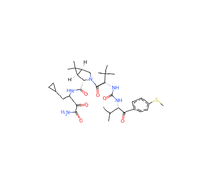 CSc1ccc(C(=O)[C@@H](NC(=O)N[C@H](C(=O)N2C[C@H]3[C@@H]([C@H]2C(=O)NC(CC2CC2)C(=O)C(N)=O)C3(C)C)C(C)(C)C)C(C)C)cc1